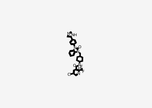 O=C(NC1CCC(Cn2c(=O)n(-c3ccc(-c4cnc[nH]4)cc3)c3ccccc32)CC1)c1cc(Cl)cnc1C(F)F